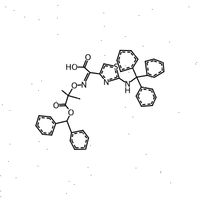 CC(C)(ON=C(C(=O)O)c1csc(NC(c2ccccc2)(c2ccccc2)c2ccccc2)n1)C(=O)OC(c1ccccc1)c1ccccc1